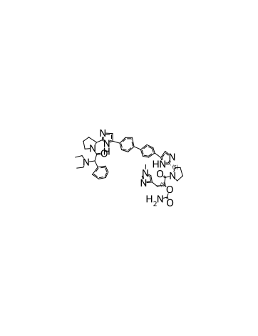 CCN(CC)C(C(=O)N1CCCC1c1ncc(-c2ccc(-c3ccc(-c4cnc([C@@H]5CCCN5C(=O)[C@H](Cc5cn(C)cn5)OC(N)=O)[nH]4)cc3)cc2)[nH]1)c1ccccc1